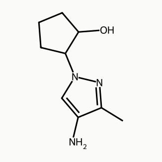 Cc1nn(C2CCCC2O)cc1N